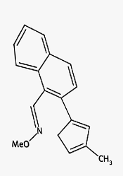 CON=Cc1c(C2=CC(C)=CC2)ccc2ccccc12